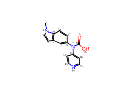 Cn1ccc2cc(N(C(=O)O)c3ccncc3)ccc21